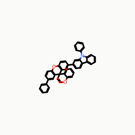 c1ccc(-c2ccc3c(c2)C2(c4ccccc4Oc4ccccc42)c2cc(-c4ccc5c6ccccc6n(-c6ccccc6)c5c4)ccc2O3)cc1